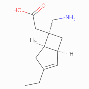 CCC1=C[C@@H]2C[C@](CN)(CC(=O)O)[C@@H]2C1